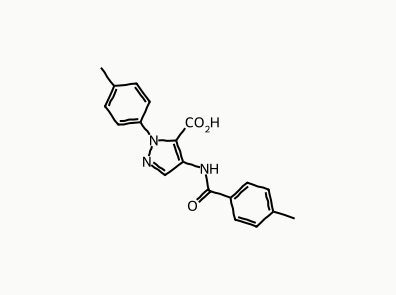 Cc1ccc(C(=O)Nc2cnn(-c3ccc(C)cc3)c2C(=O)O)cc1